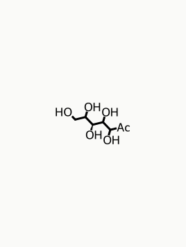 CC(=O)C(O)C(O)[C@@H](O)C(O)CO